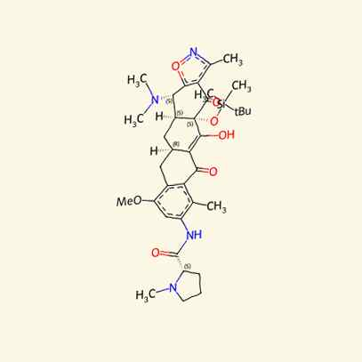 COc1cc(NC(=O)[C@@H]2CCCN2C)c(C)c2c1C[C@H]1C[C@H]3[C@H](N(C)C)c4onc(C)c4C(=O)[C@@]3(O[Si](C)(C)C(C)(C)C)C(O)=C1C2=O